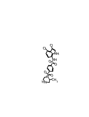 CC1CNCCN1S(=O)(=O)c1ccc(S(=O)(=O)Nc2ccc(Cl)c3c(Cl)c[nH]c23)cc1